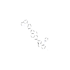 N#Cc1cc2ccc3cc(-c4cc5ccc6cc(-c7ccc(-c8cccc9cccnc89)cc7)cc7ccc(c4)c5c67)cc4c3c2c(c1)n4-c1ccccc1